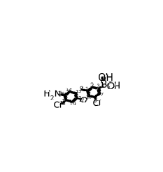 Cc1cc(B(O)O)cc(Cl)c1Oc1ccc(N)c(Cl)c1